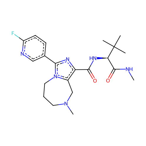 CNC(=O)[C@@H](NC(=O)c1nc(-c2ccc(F)nc2)n2c1CN(C)CCC2)C(C)(C)C